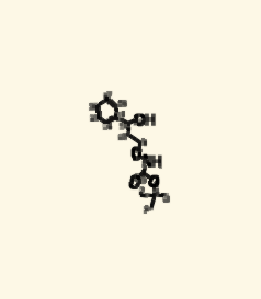 CC(C)(C)OC(=O)NOCCC(O)c1ccccc1